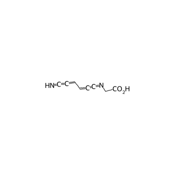 N=C=C=CC=C=C=NCC(=O)O